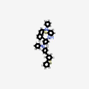 c1ccc(N(c2ccc(-c3ccc4sc5ccccc5c4c3)cc2)c2ccc3c(c2)-c2cccc4ccc5c(c24)Sc2c(cccc2N5c2ccccc2)N3)cc1